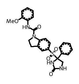 COc1ccccc1NC(=O)N1CCc2cc(S(=O)(=O)C3(c4ccccc4)CNC(=O)N3)ccc21